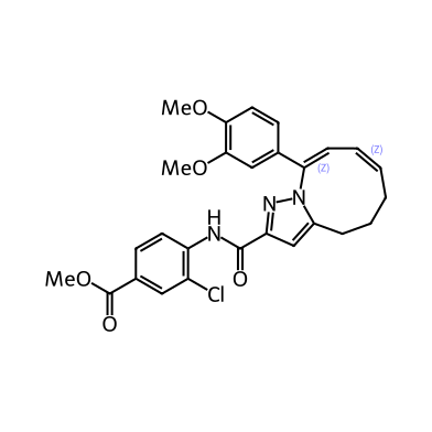 COC(=O)c1ccc(NC(=O)c2cc3n(n2)/C(c2ccc(OC)c(OC)c2)=C\C=C/CCC3)c(Cl)c1